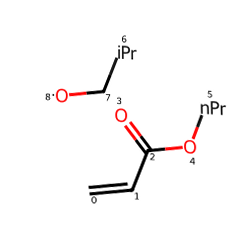 C=CC(=O)OCCC.CC(C)C[O]